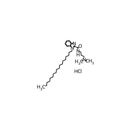 CCCCCCCCCCCCCCCCCCn1c(C(=O)NCCCN(C)C)nc2ccccc21.Cl